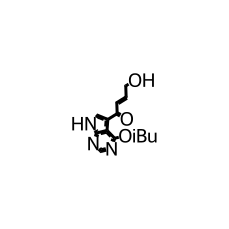 CC(C)COc1ncnc2[nH]cc(C(=O)C=CCO)c12